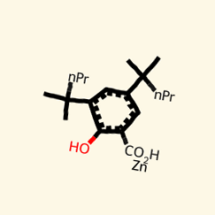 CCCC(C)(C)c1cc(C(=O)O)c(O)c(C(C)(C)CCC)c1.[Zn]